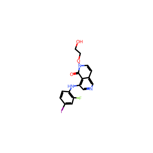 O=c1c2c(Nc3ccc(I)cc3F)cncc2ccn1OCCO